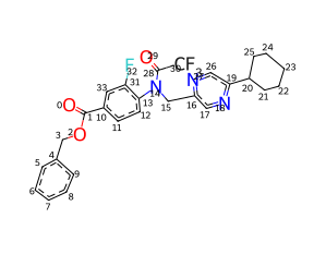 O=C(OCc1ccccc1)c1ccc(N(Cc2cnc(C3CCCCC3)cn2)C(=O)C(F)(F)F)c(F)c1